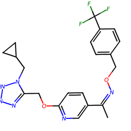 CC(=NOCc1ccc(C(F)(F)F)cc1)c1ccc(OCC2=NNNN2CC2CC2)nc1